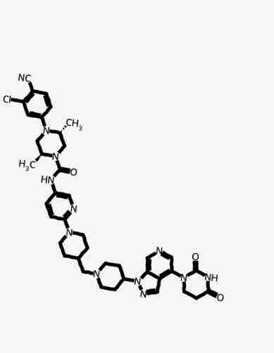 C[C@@H]1CN(C(=O)Nc2ccc(N3CCC(CN4CCC(n5ncc6c(N7CCC(=O)NC7=O)cncc65)CC4)CC3)nc2)[C@@H](C)CN1c1ccc(C#N)c(Cl)c1